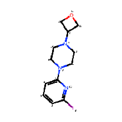 Ic1cccc(N2CCN(C3COC3)CC2)n1